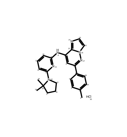 Cc1ccc(-c2cc(Nc3cccc(N4CCCC4(C)C)n3)c3nccn3n2)cc1.Cl